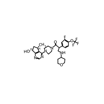 C[C@@H]1C[C@@H](O)c2ncnc(N3CCN(C(=O)C(CNC4CCOCC4)c4ccc(OC(F)(F)F)c(F)c4)CC3)c21